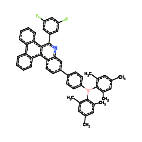 Cc1cc(C)c(B(c2ccc(-c3ccc4c(c3)nc(-c3cc(F)cc(F)c3)c3c5ccccc5c5ccccc5c43)cc2)c2c(C)cc(C)cc2C)c(C)c1